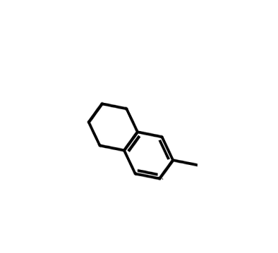 Cc1[c]cc2c(c1)CCCC2